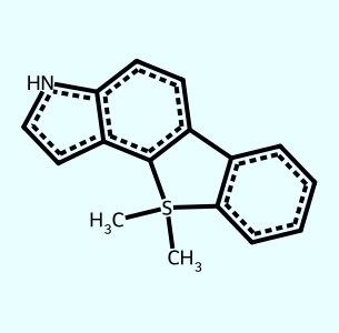 CS1(C)c2ccccc2-c2ccc3[nH]ccc3c21